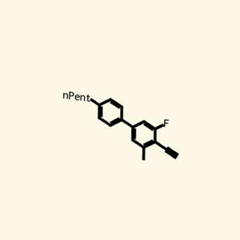 C#Cc1c(C)cc(-c2ccc(CCCCC)cc2)cc1F